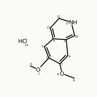 COc1cc2c(cc1OC)=CNCC=2.Cl